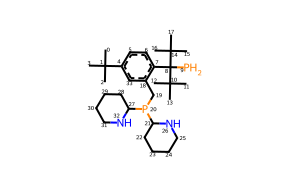 CC(C)(C)c1ccc(C(P)(C(C)(C)C)C(C)(C)C)c(CP(C2CCCCN2)C2CCCCN2)c1